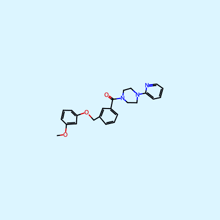 COc1cccc(OCc2cccc(C(=O)N3CCN(c4ccccn4)CC3)c2)c1